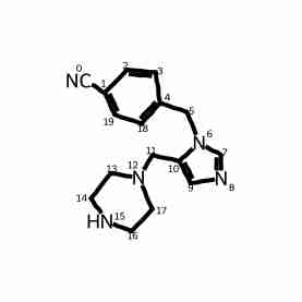 N#Cc1ccc(Cn2cncc2CN2CCNCC2)cc1